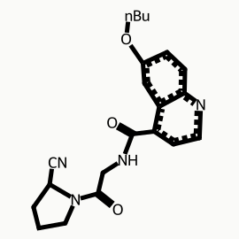 CCCCOc1ccc2nccc(C(=O)NCC(=O)N3CCCC3C#N)c2c1